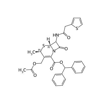 CC(=O)OCC1=C(C(=O)OC(c2ccccc2)c2ccccc2)N2C(=O)C(NC(=O)Cc3cccs3)[C@H]2S[C@@H]1C